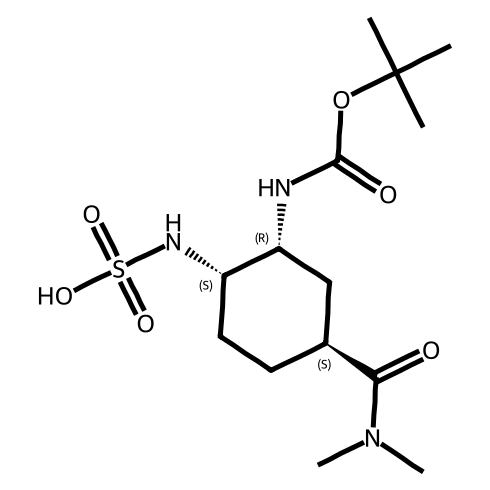 CN(C)C(=O)[C@H]1CC[C@H](NS(=O)(=O)O)[C@H](NC(=O)OC(C)(C)C)C1